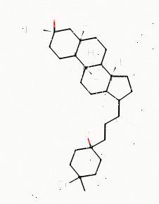 CCC1(C)CCC(O)(CC[C@@H](C)C2CC[C@H]3[C@@H]4CC[C@H]5C[C@](O)(C(F)(F)F)CC[C@]5(C)[C@H]4CC[C@]23C)CC1